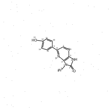 CC(C)n1c(=O)[nH]c2ncc(-c3ccc(O)cc3)nc21